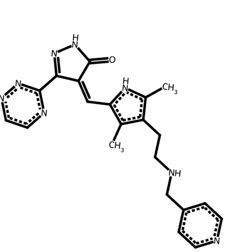 Cc1[nH]c(C=C2C(=O)NN=C2c2nccnn2)c(C)c1CCNCc1ccncc1